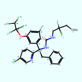 COCC(F)(F)CNC(=O)N[C@@](Cc1ccccc1)(c1cc(F)cc(OC(F)(F)C(F)F)c1)c1ccc(Cl)cn1